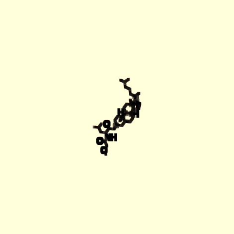 COCC(=O)NC(CC(C)C)C(=O)C[C@H]1CC[C@@]2(C)C(=CC[C@H]3[C@@H]4CC[C@H]([C@H](C)CCCC(C)C)[C@@]4(C)CC[C@@H]32)C1